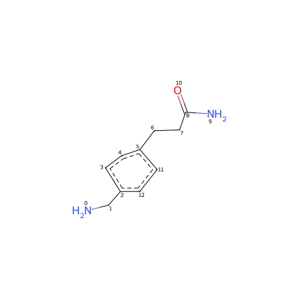 NCc1ccc(CCC(N)=O)cc1